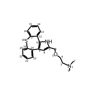 CN(C)CCOCc1cc2c([nH]1)-c1ccccc1Sc1ccccc1-2